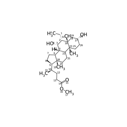 CC[C@H]1[C@@H](O)[C@H]2C3CC[C@H]([C@H](C)CCC(=O)OC)[C@@]3(C)CCC2[C@@]2(C)CC[C@@H](O)C[C@@]12C